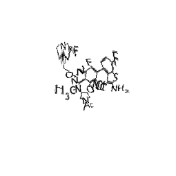 CC(=O)N1CC2Oc3c(Cl)c(-c4ccc(F)c5sc(N)c(C#N)c45)c(F)c4nc(OCC[C@@]56CCCN5C[C@H](F)C6)nc(c34)N(C)C2C1